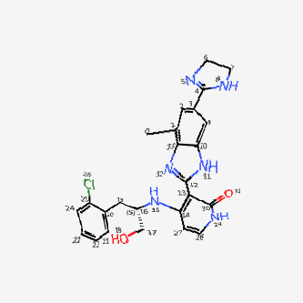 Cc1cc(C2=NCCN2)cc2[nH]c(-c3c(N[C@H](CO)Cc4ccccc4Cl)cc[nH]c3=O)nc12